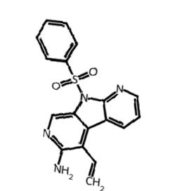 C=Cc1c(N)ncc2c1c1cccnc1n2S(=O)(=O)c1ccccc1